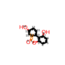 O=[PH]1Oc2cccc(O)c2-c2ccc(O)cc21